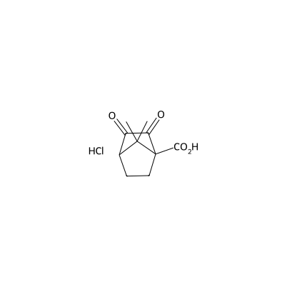 CC1(C)C2CCC1(C(=O)O)C(=O)C2=O.Cl